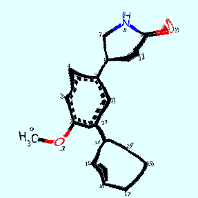 COc1ccc(C2CNC(=O)C2)cc1C1C=CCCC1